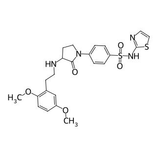 COc1ccc(OC)c(CCNC2CCN(c3ccc(S(=O)(=O)Nc4nccs4)cc3)C2=O)c1